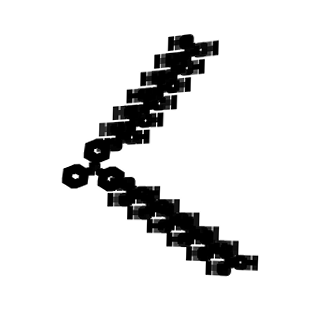 OB(O)O.OB(O)O.OB(O)O.OB(O)O.OB(O)O.OB(O)O.OB(O)O.OB(O)O.OB(O)O.OB(O)O.OB(O)O.OB(O)O.c1ccc(P(c2ccccc2)c2ccccc2)cc1